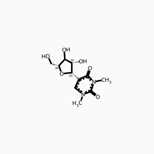 Cn1cc([C@@H]2O[C@H](CO)C(O)[C@@H]2O)c(=O)n(C)c1=O